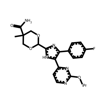 CC(C)Oc1nccc(-c2[nH]c(C3OCC(C)(C(N)=O)CO3)nc2-c2ccc(F)cc2)n1